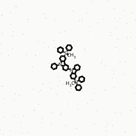 C[Si](c1ccccc1)(c1ccccc1)c1ccc2c(c1)c1ccccc1n2-c1ccc2c(c1)c1cc([Si](C)(c3ccccc3)c3ccccc3)ccc1n2-c1ccccc1